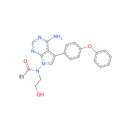 CCC(=O)N(CCO)n1cc(-c2ccc(Oc3ccccc3)cc2)c2c(N)ncnc21